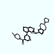 CN1CCN(C(=O)c2cncc(-c3cccc4cnc(Nc5ccc6c(c5)CC[C@@H](N5CCCC5)CC6)nc34)c2)CC1